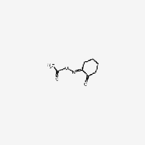 CC(=O)ON=C1CCCCC1=O